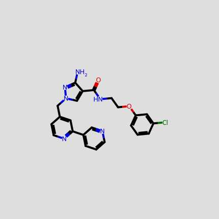 Nc1nn(Cc2ccnc(-c3cccnc3)c2)cc1C(=O)NCCOc1cccc(Cl)c1